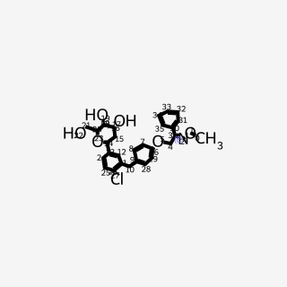 CO/N=C(/COc1ccc(Cc2cc(C3CC(O)[C@H](O)C(CO)O3)ccc2Cl)cc1)c1ccccc1